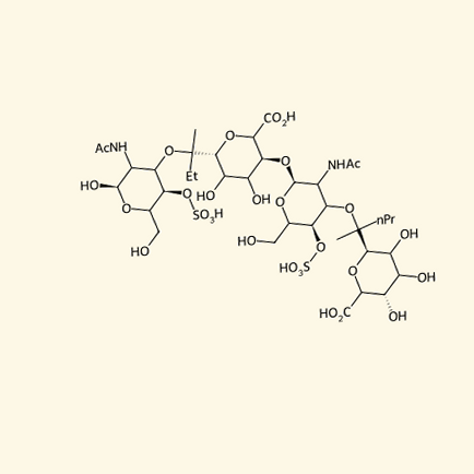 CCCC(C)(OC1C(NC(C)=O)[C@H](O[C@@H]2C(C(=O)O)O[C@@H](C(C)(CC)OC3C(NC(C)=O)[C@H](O)OC(CO)[C@@H]3OS(=O)(=O)O)C(O)C2O)OC(CO)[C@@H]1OS(=O)(=O)O)[C@@H]1OC(C(=O)O)[C@@H](O)C(O)C1O